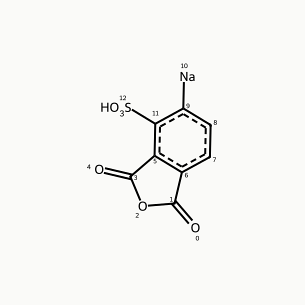 O=C1OC(=O)c2c1cc[c]([Na])c2S(=O)(=O)O